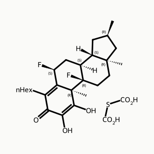 CCCCCCC1=C2[C@@H](F)C[C@H]3[C@@H]4C[C@@H](C)C[C@@]4(C)CC[C@]3(F)[C@@]2(C)C(O)=C(O)C1=O.O=C(O)SC(=O)O